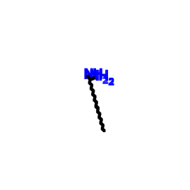 CCCCCCCCC=CCCCCCCCCC(CN)CN